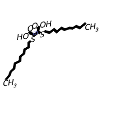 CCCCCCCCCCCCS/C(C(=O)O)=C(\SCCCCCCCCCCCC)C(=O)O